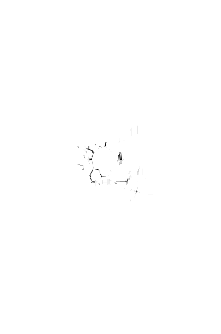 C[C@@H]1C=CC[C@H](NC(=O)OC(C)(C)C)c2cc(ccn2)-c2c(cnn2C(F)F)NC1=O